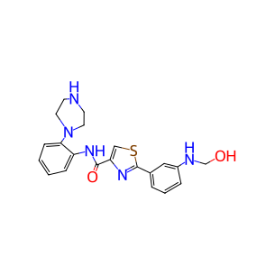 O=C(Nc1ccccc1N1CCNCC1)c1csc(-c2cccc(NCO)c2)n1